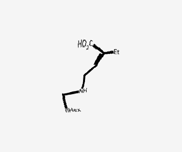 CCCCCCCNCC=C(CC)C(=O)O